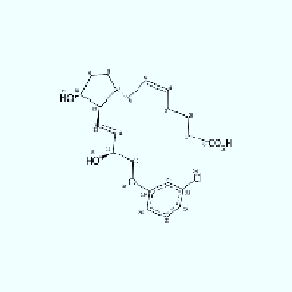 O=C(O)CCC/C=C\C[C@H]1CC[C@H](O)[C@@H]1/C=C/[C@H](O)COc1cccc(Cl)c1